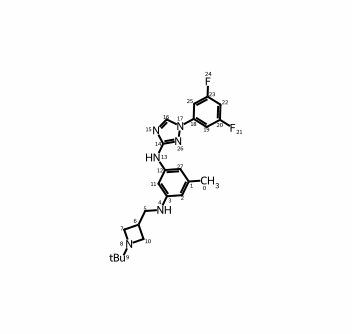 Cc1cc(NCC2CN(C(C)(C)C)C2)cc(Nc2ncn(-c3cc(F)cc(F)c3)n2)c1